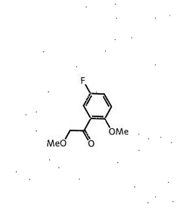 COCC(=O)c1cc(F)ccc1OC